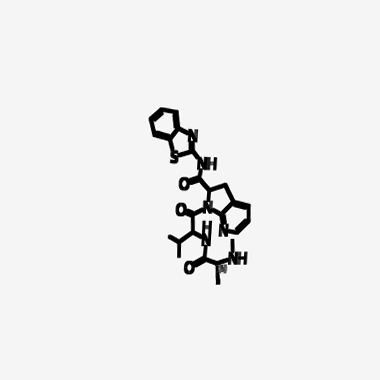 CN[C@@H](C)C(=O)NC(C(=O)N1c2ncccc2CC1C(=O)Nc1nc2ccccc2s1)C(C)C